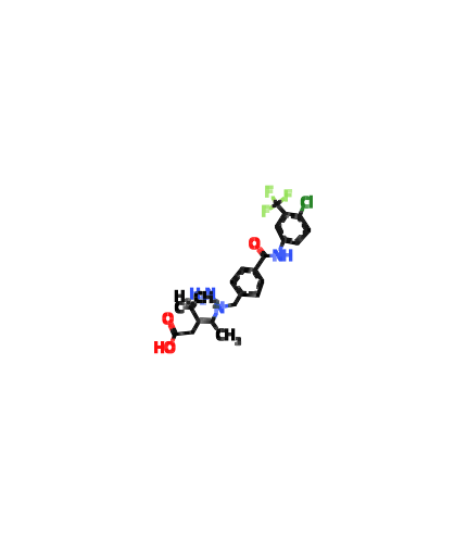 C=C(C)/C(CC(=O)O)=C(/C)N(N)Cc1ccc(C(=O)Nc2ccc(Cl)c(C(F)(F)F)c2)cc1